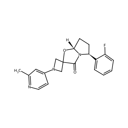 Cc1cc(N2CC3(C2)O[C@@H]2CC[C@@H](c4ccccc4F)N2C3=O)ccn1